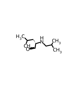 CC(C)CN[C@H](C=O)CC(C)C